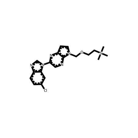 C[Si](C)(C)CCOCn1ccc2nc(-n3cnc4ccc(Cl)cc43)cnc21